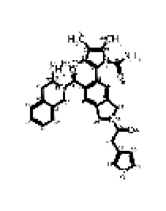 Cc1c(C)c(-c2cc3c(cc2C(=O)N2Cc4ccccc4C[C@H]2C)CN(C(=O)Cc2ccsc2)C3)n(C(N)=O)c1C